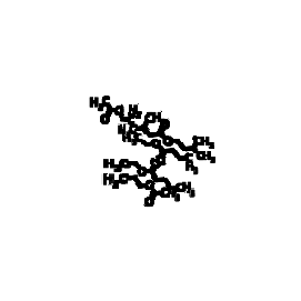 CC(C)CCOC(=O)CC(C)C.CCCC(=O)OCC.CCCCC(=O)OCC.CCCOC(C)=O.CCOC(C)=O